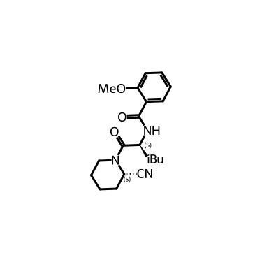 CCC(C)[C@H](NC(=O)c1ccccc1OC)C(=O)N1CCCC[C@H]1C#N